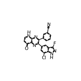 N#Cc1cccc(-c2nc3[nH]ccc(=O)c3nc2-c2cc(Cl)c3[nH]nc(F)c3c2)c1